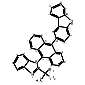 BC(B)(B)c1nc2ccccc2n1-c1c2ccccc2c(-c2ccc3oc4ccccc4c3c2)c2ccccc12